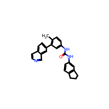 Cc1ccc(NC(=O)Nc2ccc3c(c2)CCC3)cc1-c1ccc2ccncc2c1